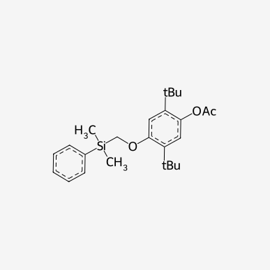 CC(=O)Oc1cc(C(C)(C)C)c(OC[Si](C)(C)c2ccccc2)cc1C(C)(C)C